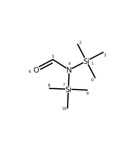 C[Si](C)(C)N(C=O)[Si](C)(C)C